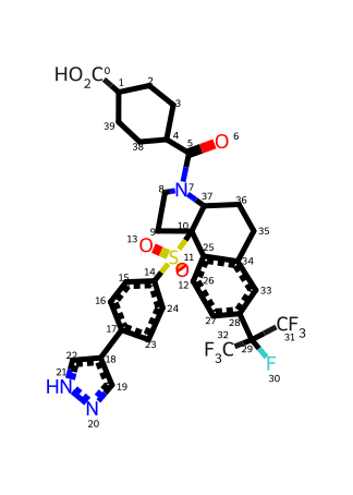 O=C(O)C1CCC(C(=O)N2CCC3(S(=O)(=O)c4ccc(-c5cn[nH]c5)cc4)c4ccc(C(F)(C(F)(F)F)C(F)(F)F)cc4CCC23)CC1